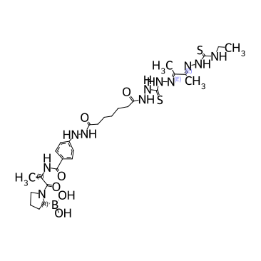 CCNC(=S)N/N=C(C)/C(C)=N/NC(=S)NNC(=O)CCCCCC(=O)NNc1ccc(C(=O)N[C@H](C)C(=O)N2CCC[C@H]2B(O)O)cc1